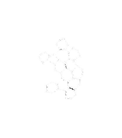 c1ccc(-c2ccccc2N(c2ccc3c(c2)c2ccccc2n3-c2ccccc2)c2cccc3ccc4c5ccccc5ccc4c23)cc1